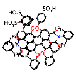 CC(C)c1cccc(C(C)C)c1N1C(=O)c2cc(Oc3ccccc3-c3ccccc3)c3c4c(Oc5ccccc5-c5ccccc5)cc5c6c(cc(Oc7ccc(S(=O)(=O)O)cc7-c7ccc(S(=O)(=O)O)cc7)c(c7c(Oc8ccc(S(=O)(=O)O)cc8-c8ccc(S(=O)(=O)O)cc8)cc(c2c37)C1=O)c64)C(=O)N(c1c(C(C)C)cccc1C(C)C)C5=O